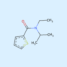 CCN(C(=O)c1cccs1)C(C)C